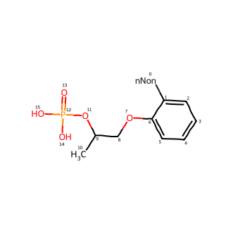 CCCCCCCCCc1ccccc1OCC(C)OP(=O)(O)O